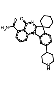 NC(=O)c1cccc2c1c(=O)nc1n2-c2cc(C3CCNCC3)ccc2C12CCCCC2